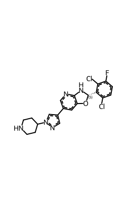 Fc1ccc(Cl)c([C@H]2Nc3ncc(-c4cnn(C5CCNCC5)c4)cc3O2)c1Cl